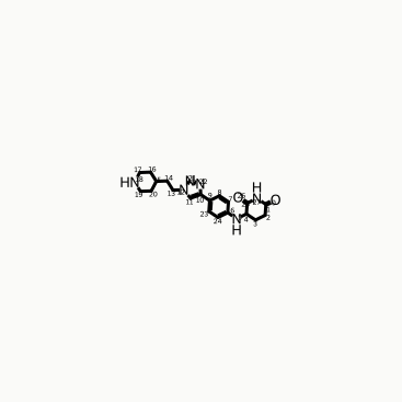 O=C1CCC(Nc2ccc(-c3cn(CCC4CCNCC4)nn3)cc2)C(=O)N1